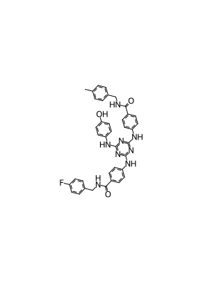 Cc1ccc(CNC(=O)c2ccc(Nc3nc(Nc4ccc(O)cc4)nc(Nc4ccc(C(=O)NCc5ccc(F)cc5)cc4)n3)cc2)cc1